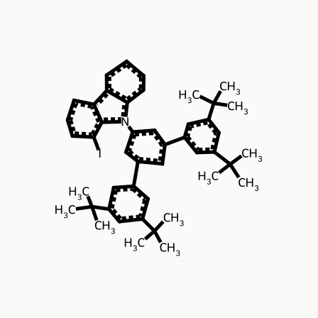 CC(C)(C)c1cc(-c2cc(-c3cc(C(C)(C)C)cc(C(C)(C)C)c3)cc(-n3c4ccccc4c4cccc(I)c43)c2)cc(C(C)(C)C)c1